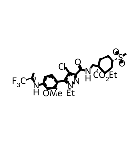 CCOC(=O)[C@]1(CNC(=O)c2nn(CC)c(-c3ccc(N[C@H](C)C(F)(F)F)cc3OC)c2Cl)CC[C@H](S(C)(=O)=O)CC1